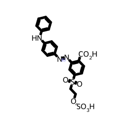 O=C(O)c1ccc(S(=O)(=O)CCOS(=O)(=O)O)cc1/N=N/c1ccc(Nc2ccccc2)cc1